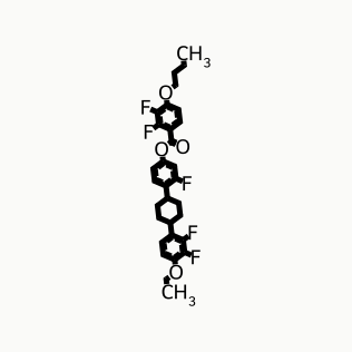 CCCCOc1ccc(C(=O)Oc2ccc(C3CCC(c4ccc(OCC)c(F)c4F)CC3)c(F)c2)c(F)c1F